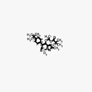 Cc1cc(/C(OC(C)OC(=O)C(C)(C)C)=C(\C#N)c2ccc(C(C)(C)C)cc2)n(C)n1